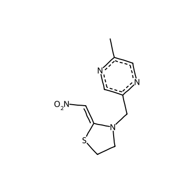 Cc1cnc(CN2CCSC2=C[N+](=O)[O-])cn1